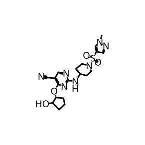 Cn1cc(S(=O)(=O)N2CCC(Nc3ncc(C#N)c(O[C@@H]4CCCC4O)n3)CC2)cn1